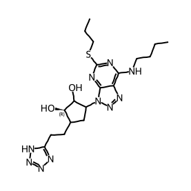 CCCCNc1nc(SCCC)nc2c1nnn2C1CC(CCc2nnn[nH]2)[C@@H](O)C1O